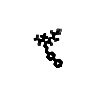 CNC(=O)[C@@H](N(CCCc1ccc(-c2ccccc2)cc1)C(=O)C[C@H](OC)C(=O)NO)C(C)(C)C